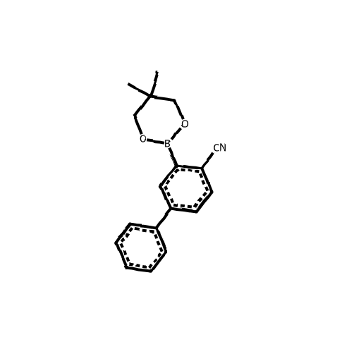 CC1(C)COB(c2cc(-c3ccccc3)ccc2C#N)OC1